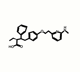 CC[C@H](C(=O)O)C(Cc1ccc(OCCc2cccc(NC)n2)cc1)c1ccccc1